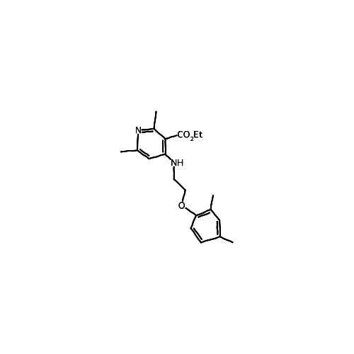 CCOC(=O)c1c(NCCOc2ccc(C)cc2C)cc(C)nc1C